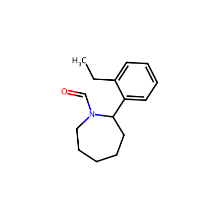 CCc1ccccc1C1CCCCCN1C=O